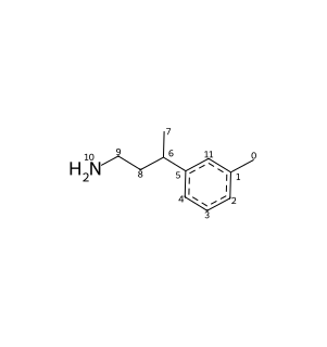 Cc1cccc(C(C)CCN)c1